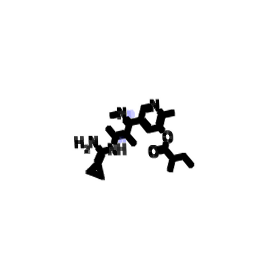 CCC(C)C(=O)Oc1cc(C(=N/C)/C(C)=C(\C)NC(N)=C2CC2)cnc1C